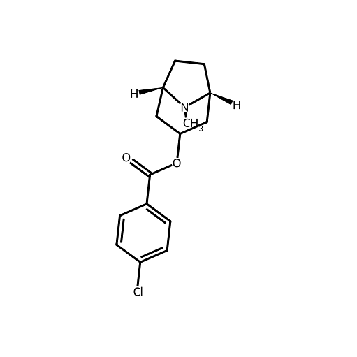 CN1[C@@H]2CC[C@H]1CC(OC(=O)c1ccc(Cl)cc1)C2